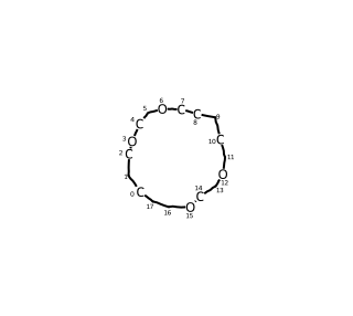 C1CCOCCOCCCCCOCCOCC1